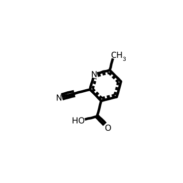 Cc1ccc(C(=O)O)c(C#N)n1